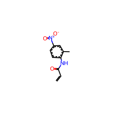 C=CC(=O)Nc1ccc([N+](=O)[O-])cc1C